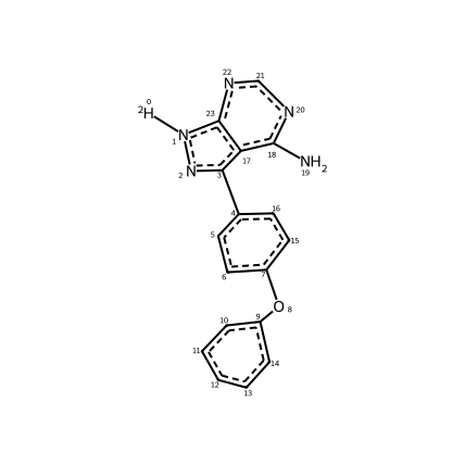 [2H]n1nc(-c2ccc(Oc3ccccc3)cc2)c2c(N)ncnc21